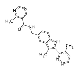 Cc1ccnnc1-c1[nH]c2ccc(CNC(=O)c3cncnc3C)cc2c1C